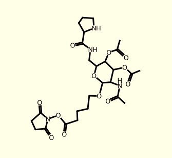 CC(=O)NC1C(OCCCCC(=O)ON2C(=O)CCC2=O)OC(CNC(=O)C2CCCN2)C(OC(C)=O)C1OC(C)=O